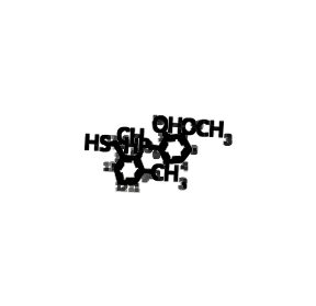 COc1cccc(Pc2c(C)cccc2C(C)S)c1O